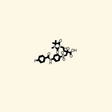 CN1C(=O)N(CCC(O)(CS(=O)(=O)c2ccc(NC(=O)c3ccc(F)cc3)cc2)C(=O)O)C(=O)C1(C)C